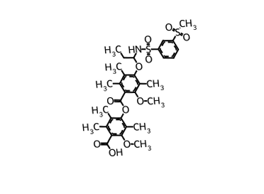 CCC(NS(=O)(=O)c1cccc(S(C)(=O)=O)c1)Oc1c(C)c(C)c(C(=O)Oc2c(C)c(C)c(C(=O)O)c(OC)c2C)c(OC)c1C